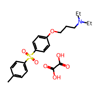 CCN(CC)CCCOc1ccc(S(=O)(=O)c2ccc(C)cc2)cc1.O=C(O)C(=O)O